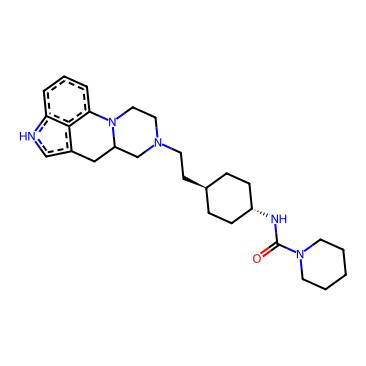 O=C(N[C@H]1CC[C@H](CCN2CCN3c4cccc5[nH]cc(c45)CC3C2)CC1)N1CCCCC1